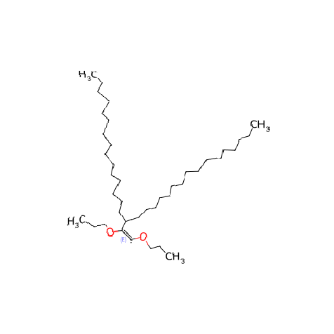 CCCCCCCCCCCCCCCCC(CCCCCCCCCCCCCCC)/C(=[C]\OCCC)OCCC